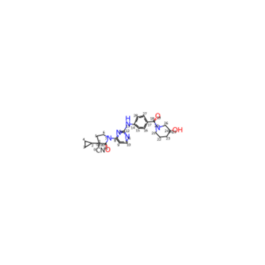 N#C[C@@]1(C2CC2)CCN(c2ccnc(Nc3ccc(C(=O)N4CCC[C@@H](O)C4)cc3)n2)C1=O